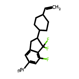 C=CC1CCC(C2Cc3cc(CCC)cc(F)c3C2(F)F)CC1